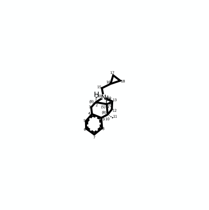 C[C@@H]1[C@H]2Cc3ccccc3[C@]1(C)CCN2CC1CC1